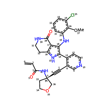 C=CC(=O)N[C@@]1(C#Cc2cnccc2-c2[nH]c3c(c2Nc2cccc(Cl)c2OC)C(=O)NCC3)CCOC1